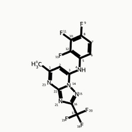 Cc1cc(Nc2ccc(F)c(F)c2F)n2nc(C(F)(F)F)nc2n1